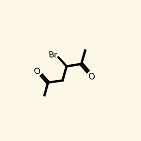 CC(=O)CC(Br)C(C)=O